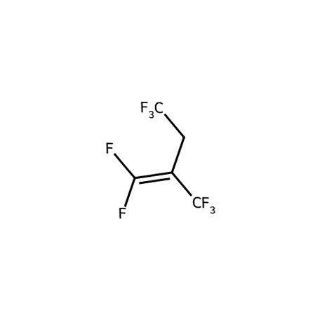 FC(F)=C(CC(F)(F)F)C(F)(F)F